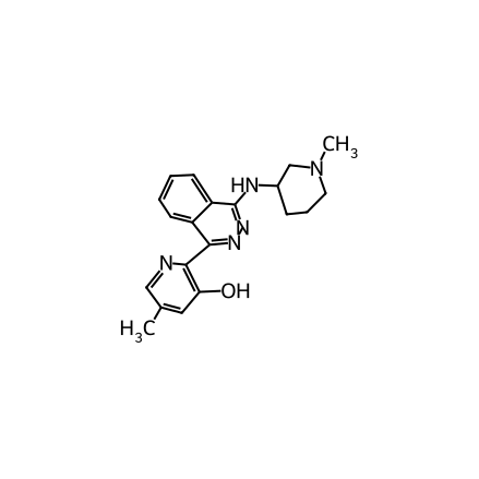 Cc1cnc(-c2nnc(NC3CCCN(C)C3)c3ccccc23)c(O)c1